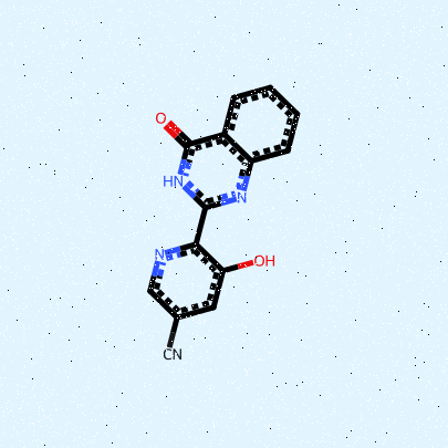 N#Cc1cnc(-c2nc3ccccc3c(=O)[nH]2)c(O)c1